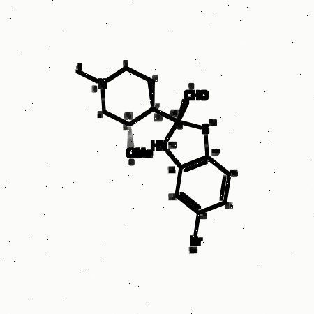 CO[C@@H]1CN(C)CC[C@H]1[C@@]1(C=O)Nc2cc(Br)ccc2S1